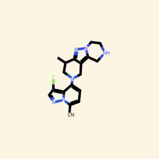 CC1CN(c2ccc(C#N)n3ncc(F)c23)Cc2c1nn1c2CNCC1